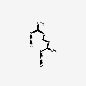 CC(N=C=O)SCSC(C)N=C=O